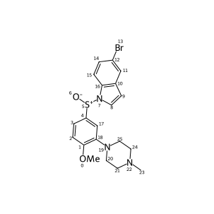 COc1ccc([S+]([O-])n2ccc3cc(Br)ccc32)cc1N1CCN(C)CC1